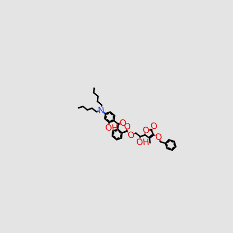 CCCCCN(CCCCC)c1ccc(C(=O)c2ccccc2C(=O)OCC(O)C2OC(=O)C(OCc3ccccc3)=C2C)c(O)c1